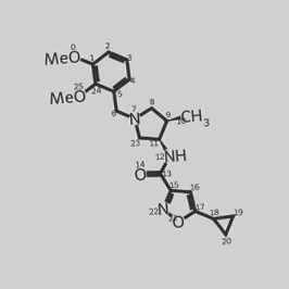 COc1cccc(CN2C[C@@H](C)[C@@H](NC(=O)c3cc(C4CC4)on3)C2)c1OC